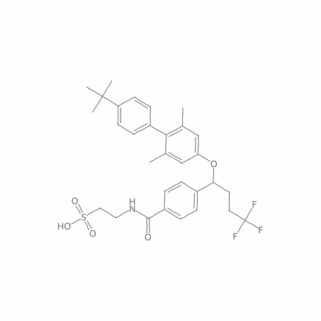 Cc1cc(OC(CCC(F)(F)F)c2ccc(C(=O)NCCS(=O)(=O)O)cc2)cc(C)c1-c1ccc(C(C)(C)C)cc1